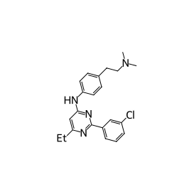 CCc1cc(Nc2ccc(CCN(C)C)cc2)nc(-c2cccc(Cl)c2)n1